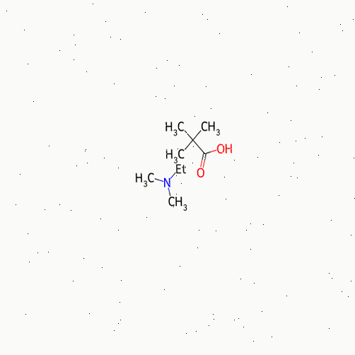 CC(C)(C)C(=O)O.CCN(C)C